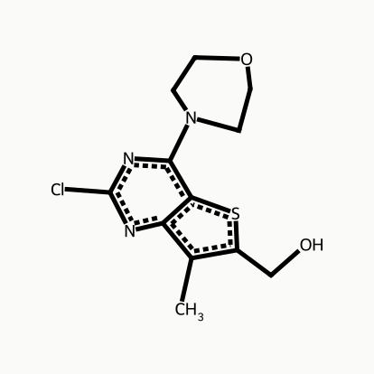 Cc1c(CO)sc2c(N3CCOCC3)nc(Cl)nc12